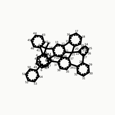 CC1(C)c2ccccc2-c2cc3c(cc21)-c1ccccc1C31c2ccccc2-c2ccccc2-c2ccc(-c3nc(-c4ccccc4)nc(-c4ccccc4)n3)cc21